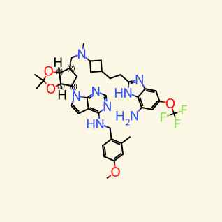 COc1ccc(CNc2ncnc3c2ccn3[C@@H]2C[C@H](CN(C)C3CC(CCc4nc5cc(OC(F)(F)F)cc(N)c5[nH]4)C3)[C@H]3OC(C)(C)O[C@H]32)c(C)c1